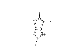 Cc1[nH]c2c(F)c(F)sc2c1F